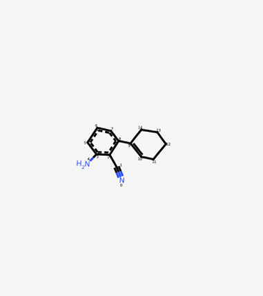 N#Cc1c(N)cccc1C1=CCCCC1